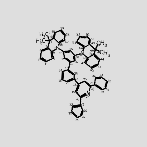 CC1(C)c2ccccc2N(c2cc(-c3cccc(-c4cc(-c5ccccc5)nc(-c5ccccc5)c4)c3)cc(N3c4ccccc4C(C)(C)c4ccccc43)c2)c2ccccc21